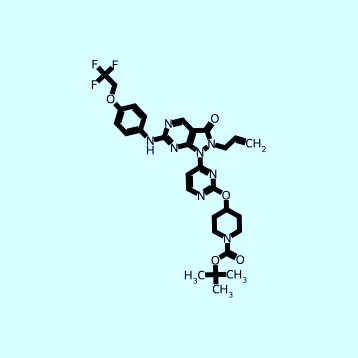 C=CCn1c(=O)c2cnc(Nc3ccc(OCC(F)(F)F)cc3)nc2n1-c1ccnc(OC2CCN(C(=O)OC(C)(C)C)CC2)n1